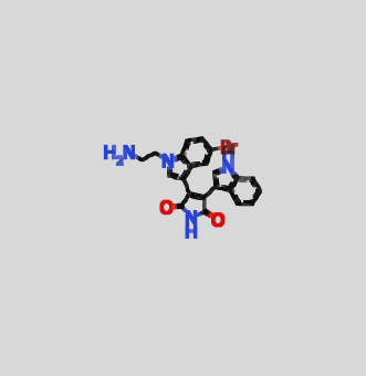 NCCn1cc(C2=C(c3c[nH]c4ccccc34)C(=O)NC2=O)c2cc(Br)ccc21